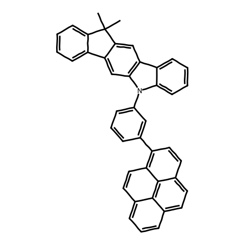 CC1(C)c2ccccc2-c2cc3c(cc21)c1ccccc1n3-c1cccc(-c2ccc3ccc4cccc5ccc2c3c45)c1